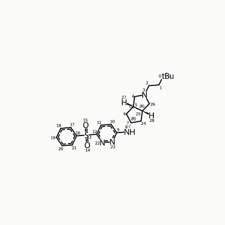 CC(C)(C)CCN1C[C@H]2C[C@@H](Nc3ccc(S(=O)(=O)c4ccccc4)nn3)C[C@H]2C1